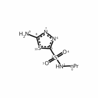 CCCNS(=O)(=O)c1nnc(N)s1